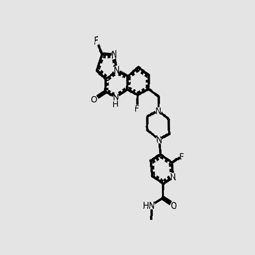 CNC(=O)c1ccc(N2CCN(Cc3ccc4c([nH]c(=O)c5cc(F)nn54)c3F)CC2)c(F)n1